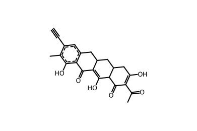 C#Cc1cc2c(c(O)c1C)C(=O)C1=C(O)C3C(=O)C(C(C)=O)=C(O)CC3CC1C2